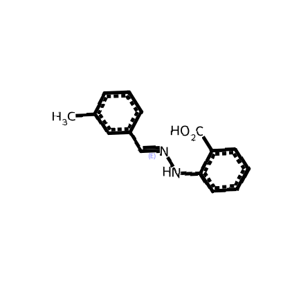 Cc1cccc(/C=N/Nc2ccccc2C(=O)O)c1